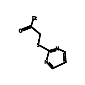 CCC(=O)CSc1ncccn1